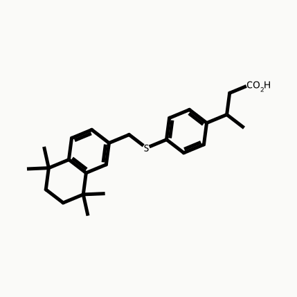 CC(CC(=O)O)c1ccc(SCc2ccc3c(c2)C(C)(C)CCC3(C)C)cc1